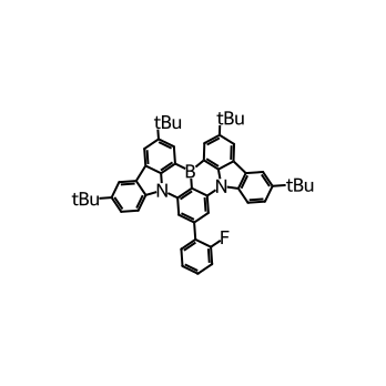 CC(C)(C)c1ccc2c(c1)c1cc(C(C)(C)C)cc3c1n2-c1cc(-c2ccccc2F)cc2c1B3c1cc(C(C)(C)C)cc3c4cc(C(C)(C)C)ccc4n-2c13